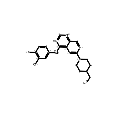 N#CCC1CCN(c2ncc3ncnc(Nc4ccc(F)c(Cl)c4)c3n2)CC1